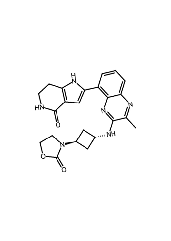 Cc1nc2cccc(-c3cc4c([nH]3)CCNC4=O)c2nc1N[C@H]1C[C@H](N2CCOC2=O)C1